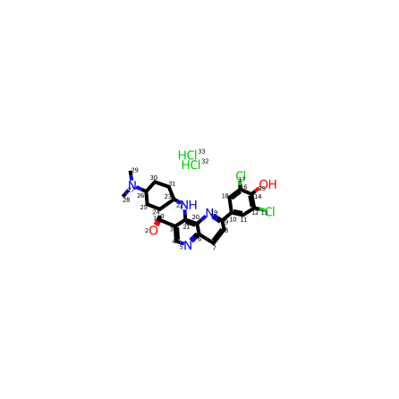 CC(=O)c1cnc2ccc(-c3cc(Cl)c(O)c(Cl)c3)nc2c1NC1CCC(N(C)C)CC1.Cl.Cl